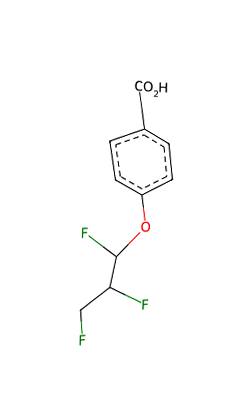 O=C(O)c1ccc(OC(F)C(F)CF)cc1